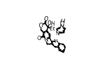 CCC1(O)C(=O)OCc2c1cc1n(c2=O)Cc2cc3ccccc3nc2-1.c1c[nH]cn1